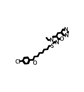 CCn1cc(Cc2cncnc2)c(=O)nc1SCCCCCCCC(=O)c1ccc(Cl)cc1